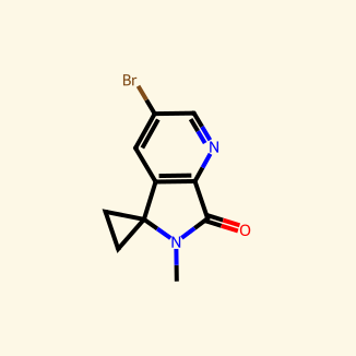 CN1C(=O)c2ncc(Br)cc2C12CC2